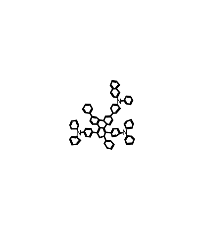 C1=CCCC(C2CC(c3ccc(N(c4ccccc4)C4C=CC=CC4)cc3)=C3C(=C2c2ccc(N(c4ccccc4)c4ccccc4)cc2)C2C=CC(C4C=CC(N(c5ccccc5)c5ccc6ccccc6c5)=CC4)=CC2c2cc(-c4ccccc4)ccc23)=C1